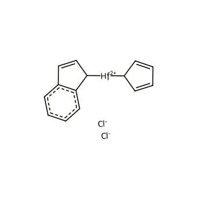 C1=C[CH]([Hf+2][CH]2C=Cc3ccccc32)C=C1.[Cl-].[Cl-]